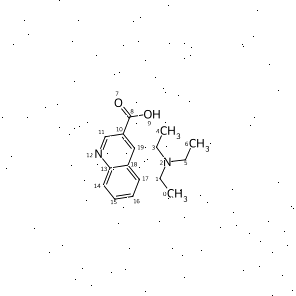 CCN(CC)CC.O=C(O)c1cnc2ccccc2c1